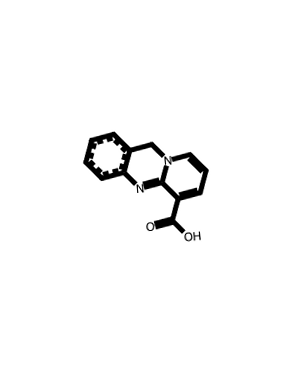 O=C(O)C1=CC=CN2Cc3ccccc3N=C12